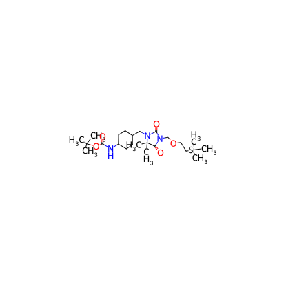 CC(C)(C)OC(=O)NC1CCC(CN2C(=O)N(COCC[Si](C)(C)C)C(=O)C2(C)C)CC1